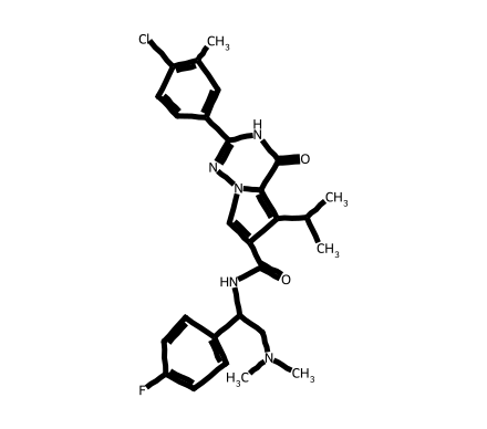 Cc1cc(-c2nn3cc(C(=O)NC(CN(C)C)c4ccc(F)cc4)c(C(C)C)c3c(=O)[nH]2)ccc1Cl